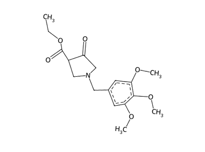 CCOC(=O)C1CN(Cc2cc(OC)c(OC)c(OC)c2)CC1=O